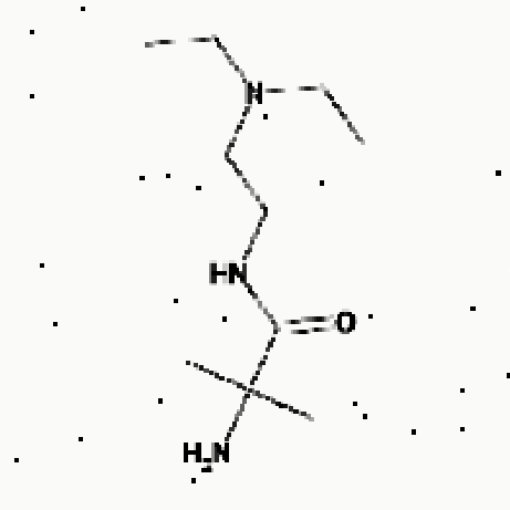 CCN(CC)CCNC(=O)C(C)(C)N